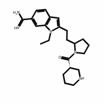 CCn1c(CCC2CCCN2C(=O)[C@H]2CCCNC2)cc2ccc(C(=N)N)cc21